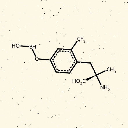 C[C@](N)(Cc1ccc(OBO)cc1C(F)(F)F)C(=O)O